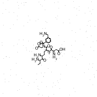 CCC(N)C(=O)C(N)CC[C@@H](C(=O)N(CC(=O)O)C(=O)c1cccc(CN)c1)N(C)C(=O)[C@@H](N)CC(=O)O